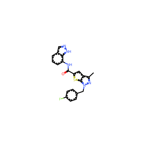 Cc1nn(Cc2ccc(F)cc2)c2sc(C(=O)Nc3cccc4cn[nH]c34)cc12